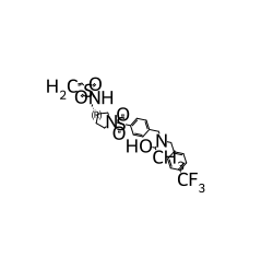 C=CS(=O)(=O)NC[C@H]1CCN(S(=O)(=O)c2ccc(CN(Cc3ccc(C(F)(F)F)cc3)C(C)O)cc2)C1